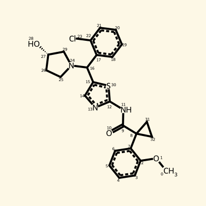 COc1ccccc1C1(C(=O)Nc2ncc(C(c3ccccc3Cl)N3CC[C@H](O)C3)s2)CC1